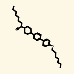 CCCCCCCOc1ccc(-c2ccc(C3CCC(C(C#N)CCCCCCC)CC3)cc2)cc1